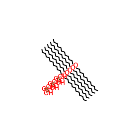 CCCCCCCCCCCCOCCCCCCCCCCCC.CCCCCCCCCCCCOCCCCCCCCCCCC.CCCCCCCCCCCCOCCCCCCCCCCCC.CCCCCCCCCCCCOCCCCCCCCCCCC.CCCCCCCCCCCCOCCCCCCCCCCCC.O=S(=O)(O)O.O=S(=O)(O)O.O=S(=O)(O)O